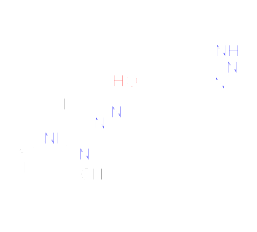 CN(c1ccc(-c2ccc(-c3c[nH]nn3)cc2O)nn1)C1C[C@H]2CC[C@@H](C1)N2